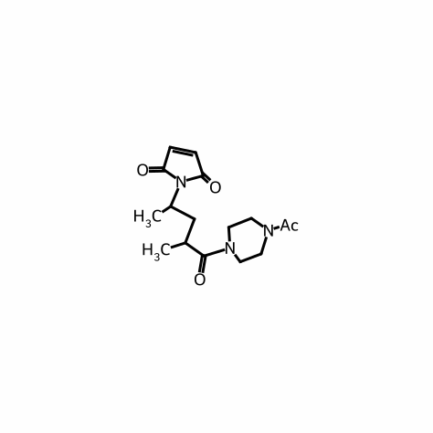 CC(=O)N1CCN(C(=O)C(C)CC(C)N2C(=O)C=CC2=O)CC1